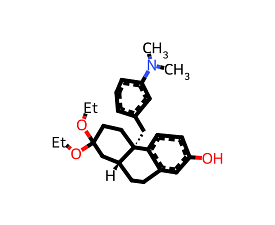 CCOC1(OCC)CC[C@@]2(Cc3cccc(N(C)C)c3)c3ccc(O)cc3CC[C@@H]2C1